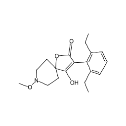 CCc1cccc(CC)c1C1=C(O)C2(CCN(OC)CC2)OC1=O